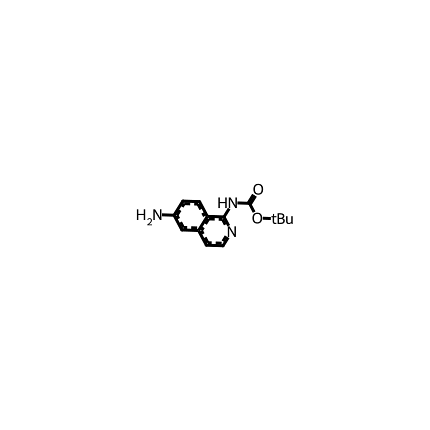 CC(C)(C)OC(=O)Nc1nccc2cc(N)ccc12